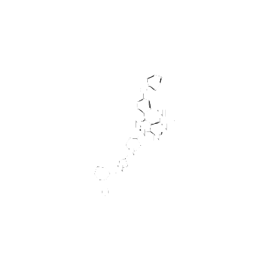 Nc1ncnc2c1c(-c1ccc(Oc3ccccc3)cc1)nn2C1CCN(C2CN(C[C@@H]3CCCC[C@H]3C=O)C2)CC1